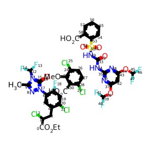 CCOC(=O)C(Cl)Cc1cc(-n2nc(C)n(C(F)F)c2=O)c(F)cc1Cl.COc1c(Cl)ccc(Cl)c1C(=O)O.O=C(Nc1nc(OC(F)F)cc(OC(F)F)n1)NS(=O)(=O)c1ccccc1C(=O)O